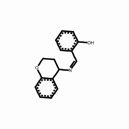 Oc1ccccc1/C=N\C1CCOc2ccccc21